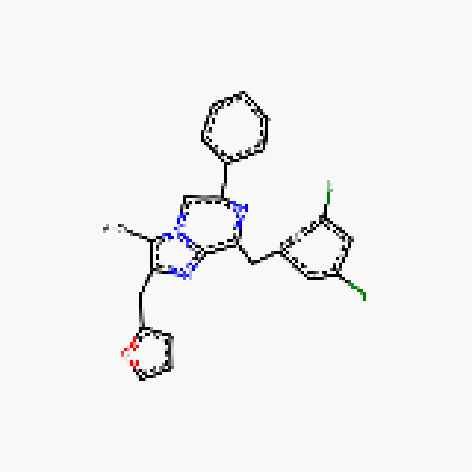 CC(=O)Oc1c(Cc2ccco2)nc2c(Cc3cc(F)cc(F)c3)nc(-c3ccccc3)cn12